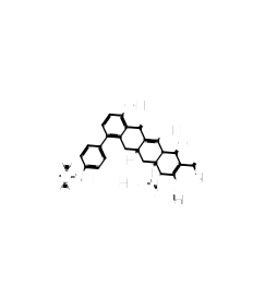 CN(C)[C@H]1C(O)=C(C(N)=O)C(=O)C2C(O)=C3C(=O)c4c(O)ccc(-c5ccc(NS(C)(=O)=O)cc5)c4C[C@H]3C[C@H]21